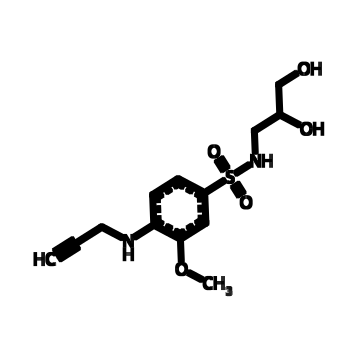 C#CCNc1ccc(S(=O)(=O)NCC(O)CO)cc1OC